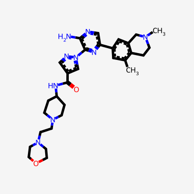 Cc1cc(-c2cnc(N)c(-n3cc(C(=O)NC4CCN(CCN5CCOCC5)CC4)cn3)n2)cc2c1CCN(C)C2